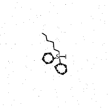 CCCCCC[Si](I)(c1ccccc1)c1ccccc1